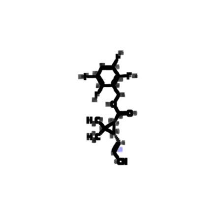 CC1(C)[C@@H](/C=C/C#N)[C@@H]1C(=O)OCc1c(F)c(F)cc(F)c1F